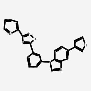 c1ccc(-c2noc(-c3cccc(-n4cnc5cc(-c6ccoc6)ccc54)c3)n2)nc1